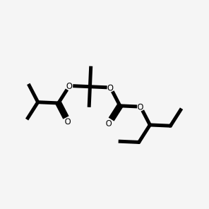 CCC(CC)OC(=O)OC(C)(C)OC(=O)C(C)C